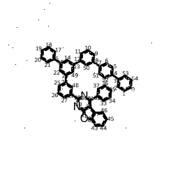 c1ccc(-c2ccc(-c3cccc(-c4cc(-c5ccccc5)cc(-c5cccc(-c6nc(-c7ccccc7)c7c(n6)oc6ccccc67)c5)c4)c3)cc2)cc1